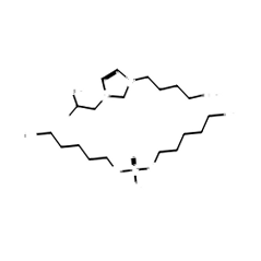 CC(C)CCCCCOP(=O)(O)OCCCCCC(C)C.CCCCCCCCCCCCCCN1C=CN(CC(CC)CCCC)C1